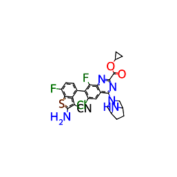 N#Cc1c(N)sc2c(F)ccc(-c3c(Cl)cc4c(N5CC6CCC(C5)N6)nc(C(=O)OC5CC5)nc4c3F)c12